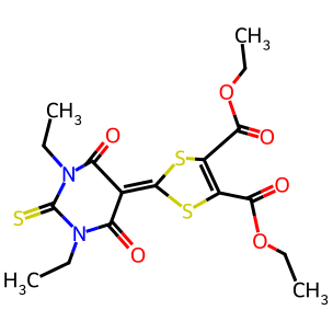 CCOC(=O)C1=C(C(=O)OCC)SC(=C2C(=O)N(CC)C(=S)N(CC)C2=O)S1